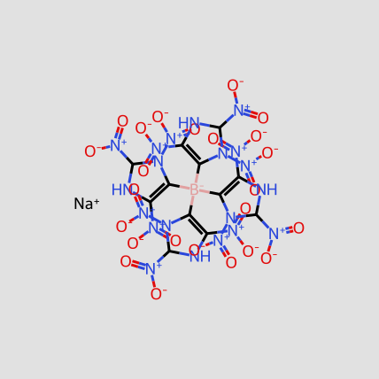 O=[N+]([O-])C1=C([B-](C2=C([N+](=O)[O-])NC([N+](=O)[O-])N2[N+](=O)[O-])(C2=C([N+](=O)[O-])NC([N+](=O)[O-])N2[N+](=O)[O-])C2=C([N+](=O)[O-])NC([N+](=O)[O-])N2[N+](=O)[O-])N([N+](=O)[O-])C([N+](=O)[O-])N1.[Na+]